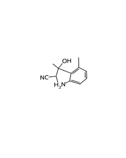 Cc1cccc(N)c1C(C)(O)C(C)C#N